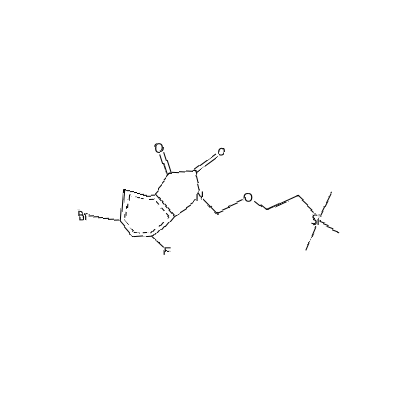 C[Si](C)(C)CCOCN1C(=O)C(=O)c2cc(Br)cc(F)c21